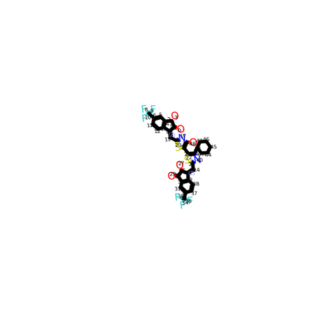 O=C1C(=O)c2cc(C(F)(F)F)ccc2/C1=C/c1nc2c(s1)-c1sc(/C=C3\C(=O)C(=O)c4cc(C(F)(F)F)ccc43)nc1C1(CCCCC1)O2